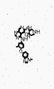 Cc1cc(Nc2ncnc3cnc4c(c23)O[C@H]2CCNC[C@H]2N4C)ccc1Oc1ccc2c(c1)ncn2C